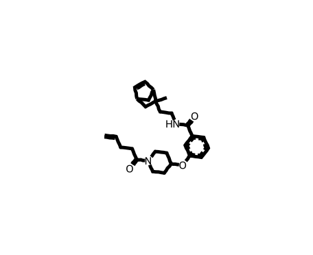 C=CCCC(=O)N1CCC(Oc2cccc(C(=O)NCCC3(C)CC4C=CC3C4)c2)CC1